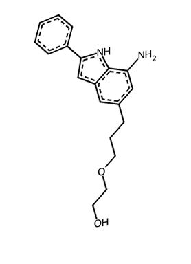 Nc1cc(CCCOCCO)cc2cc(-c3ccccc3)[nH]c12